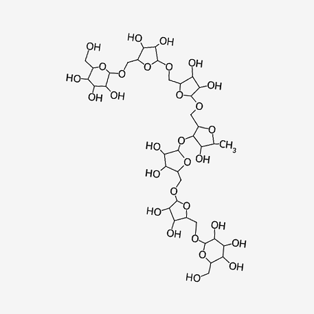 CC1OC(COC2OC(COC3OC(COC4OC(CO)C(O)C(O)C4O)C(O)C3O)C(O)C2O)C(OC2OC(COC3OC(COC4OC(CO)C(O)C(O)C4O)C(O)C3O)C(O)C2O)C1O